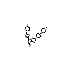 CN1CCC(c2nc(-c3cn(S)c4ncc([C@H]5CC[C@H](N6CCN(C)CC6)CC5)cc34)cs2)CC1